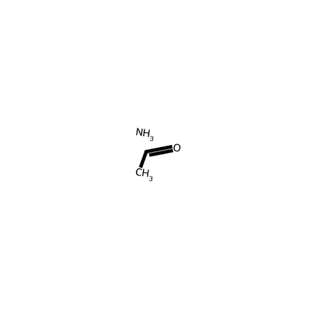 CC=O.N